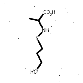 CC(NSCCCO)C(=O)O